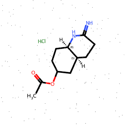 CC(=O)OC1CC[C@H]2NC(=N)CC[C@H]2C1.Cl